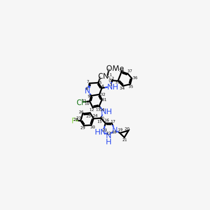 COC[C@@H](Nc1c(C#N)cnc2c(Cl)cc(N[C@@H](C3=CN(C4CC4)NN3)c3ccc(F)cc3)cc12)c1ccccc1